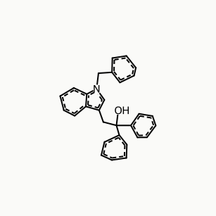 OC(Cc1cn(Cc2ccccc2)c2ccccc12)(c1ccccc1)c1ccccc1